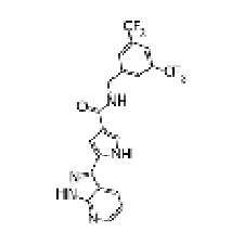 O=C(NCc1cc(C(F)(F)F)cc(C(F)(F)F)c1)c1c[nH]c(-c2n[nH]c3ncccc23)c1